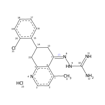 Cc1ccnc2c1/C(=N\NC(=N)N)CC(c1ccccc1Cl)C2.Cl